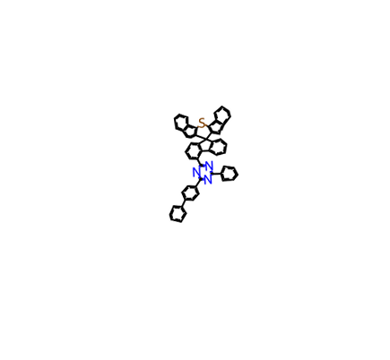 c1ccc(-c2ccc(-c3nc(-c4ccccc4)nc(-c4cccc5c4-c4ccccc4C54c5ccc6ccccc6c5Sc5c4ccc4ccccc54)n3)cc2)cc1